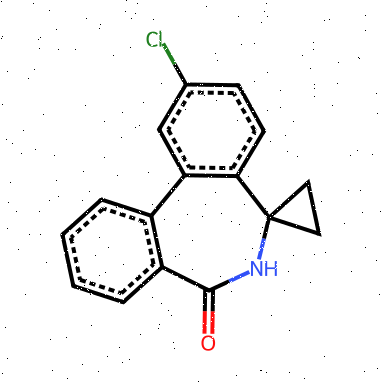 O=C1NC2(CC2)c2ccc(Cl)cc2-c2ccccc21